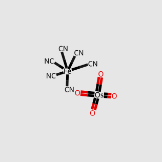 N#[C][Fe]([C]#N)([C]#N)([C]#N)([C]#N)[C]#N.[O]=[Os](=[O])(=[O])=[O]